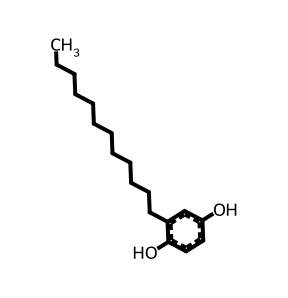 CCCCCCCCCCCCc1cc(O)ccc1O